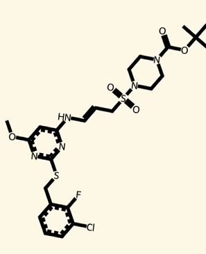 COc1cc(NC=CCS(=O)(=O)N2CCN(C(=O)OC(C)(C)C)CC2)nc(SCc2cccc(Cl)c2F)n1